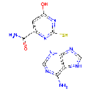 NC(=O)c1cc(O)nc(S)n1.Nc1ncnc2nc[nH]c12